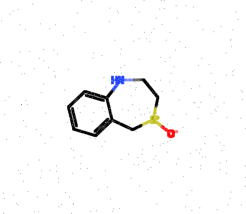 [O-][S+]1CCNc2ccccc2C1